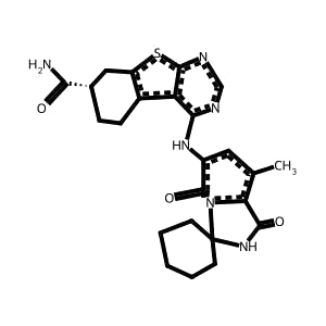 Cc1cc(Nc2ncnc3sc4c(c23)CC[C@H](C(N)=O)C4)c(=O)n2c1C(=O)NC21CCCCC1